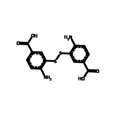 Nc1ccc(C(=O)O)cc1SSc1cc(C(=O)O)ccc1N